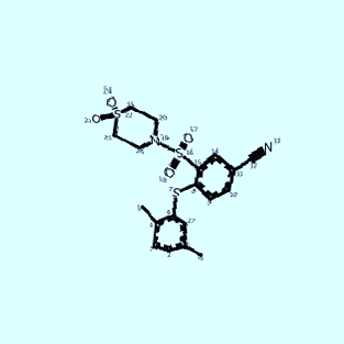 Cc1ccc(C)c(Sc2ccc(C#N)cc2S(=O)(=O)N2CCS(=O)(=O)CC2)c1